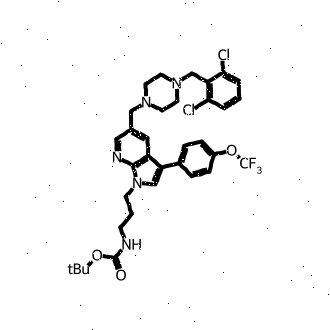 CC(C)(C)OC(=O)NCCCn1cc(-c2ccc(OC(F)(F)F)cc2)c2cc(CN3CCN(Cc4c(Cl)cccc4Cl)CC3)cnc21